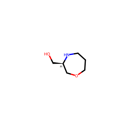 OC[C@@H]1COCCCN1